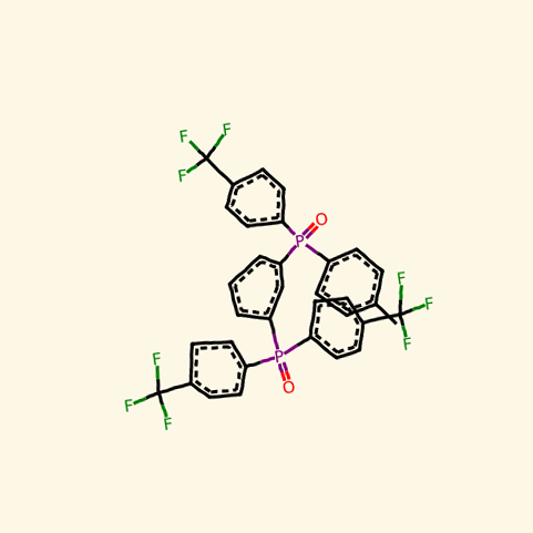 Cc1ccc(P(=O)(c2ccc(C(F)(F)F)cc2)c2cccc(P(=O)(c3ccc(C(F)(F)F)cc3)c3ccc(C(F)(F)F)cc3)c2)cc1